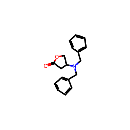 O=C1CC(N(Cc2ccccc2)Cc2ccccc2)CO1